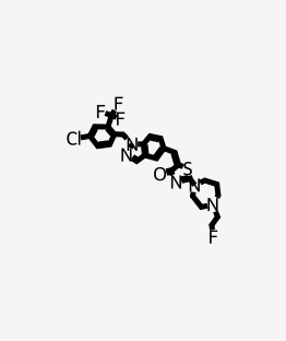 O=C1N=C(N2CCCN(CCF)CC2)SC1=Cc1ccc2c(cnn2Cc2ccc(Cl)cc2C(F)(F)F)c1